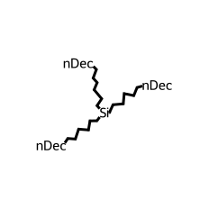 CCCCCCCCCCCCCCCC[Si](CCCCCCCCCCCCCCCC)CCCCCCCCCCCCCCCC